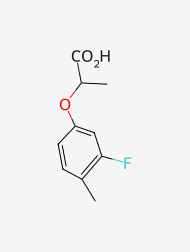 Cc1ccc(OC(C)C(=O)O)cc1F